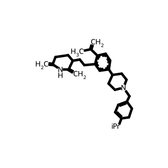 C=C1CCC(CCc2cc(C3CCN(CC4=CC=C(C(C)C)CC4)CC3)ccc2C(=C)C)C(=C)N1